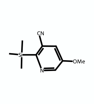 COc1cnc([Si](C)(C)C)c(C#N)c1